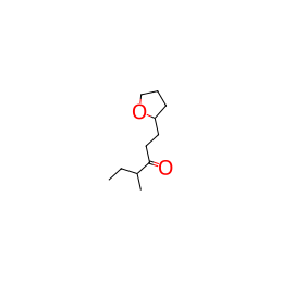 CCC(C)C(=O)CCC1CCCO1